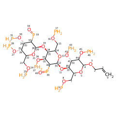 C=CCOC1OC(COP)[C@@H](O[C@@H]2OC(COP)[C@H](O[C@H]3OC(COP)[C@H](OP)[C@H](OP)C3P=O)[C@H](OP)C2P=O)[C@H](OP)C1OP